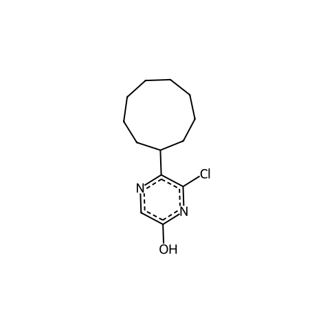 Oc1cnc(C2CCCCCCCC2)c(Cl)n1